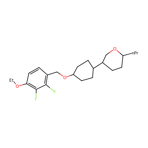 CCCC1CCC(C2CCC(OCc3ccc(OCC)c(F)c3F)CC2)CO1